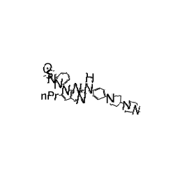 CCCc1cc2cnc(Nc3ccc(N4CCC(N5CCN(C)CC5)CC4)cc3)nc2n1-c1cccc(N=S(C)(C)=O)n1